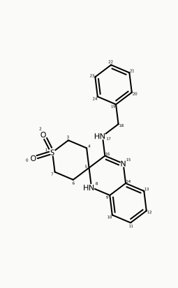 O=S1(=O)CCC2(CC1)Nc1ccccc1N=C2NCc1ccccc1